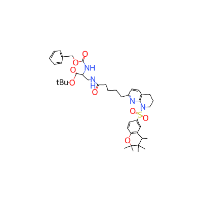 CC1c2cc(S(=O)(=O)N3CCCc4ccc(CCCCC(=O)NCC(NC(=O)OCc5ccccc5)C(=O)OC(C)(C)C)nc43)ccc2OC(C)(C)C1(C)C